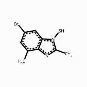 Cc1cc(Br)cc2c1nc(C)n2S